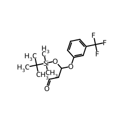 CC(C)(C)[Si](C)(C)OC(CC=O)Oc1cccc(C(F)(F)F)c1